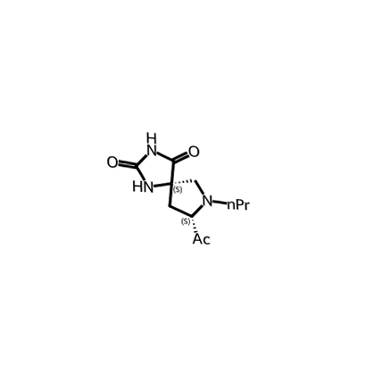 CCCN1C[C@]2(C[C@H]1C(C)=O)NC(=O)NC2=O